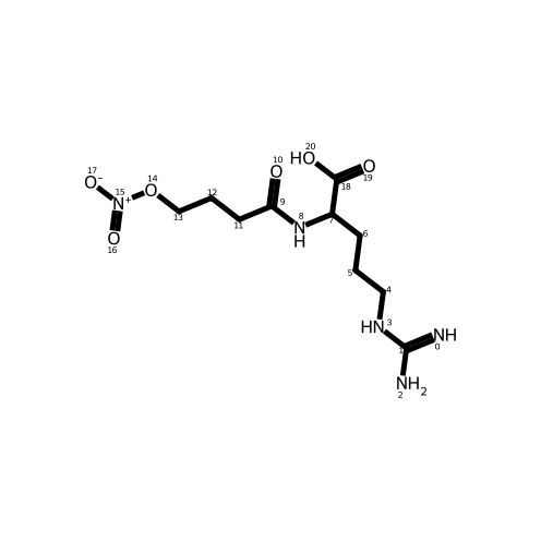 N=C(N)NCCCC(NC(=O)CCCO[N+](=O)[O-])C(=O)O